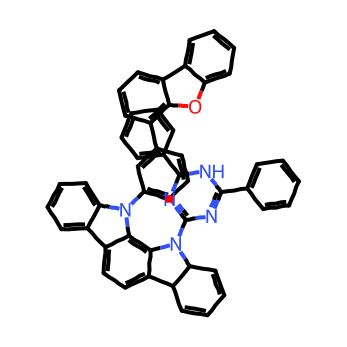 C1=CC2c3ccc4c5ccccc5n(-c5cccc(-c6cccc7c6oc6ccccc67)c5)c4c3N(C3=NC(c4ccccc4)NC(c4ccccc4)=N3)C2C=C1